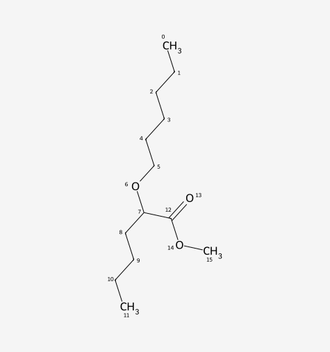 CCCCCCOC(CCCC)C(=O)OC